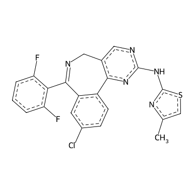 Cc1csc(Nc2ncc3c(n2)-c2ccc(Cl)cc2C(c2c(F)cccc2F)=NC3)n1